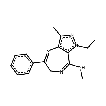 CCn1nc(C)c2c1C(NC)=NCC(c1ccccc1)=N2